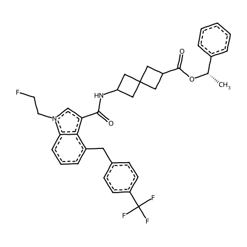 C[C@H](OC(=O)C1CC2(CC(NC(=O)c3cn(CCF)c4cccc(Cc5ccc(C(F)(F)F)cc5)c34)C2)C1)c1ccccc1